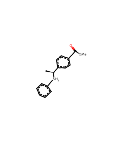 COC(=O)c1ccc([C@H](C)[SiH2]c2ccccc2)cc1